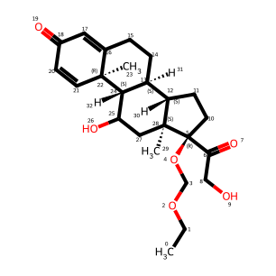 CCOCO[C@]1(C(=O)CO)CC[C@H]2[C@@H]3CCC4=CC(=O)C=C[C@]4(C)[C@H]3C(O)C[C@@]21C